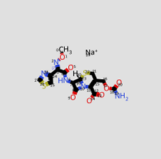 CO/N=C(\C(=O)NC1C(=O)N2C(C(=O)[O-])=C(COC(N)=O)CS[C@H]12)c1cscn1.[Na+]